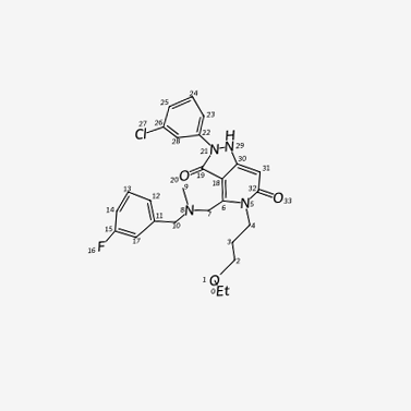 CCOCCCn1c(CN(C)Cc2cccc(F)c2)c2c(=O)n(-c3cccc(Cl)c3)[nH]c2cc1=O